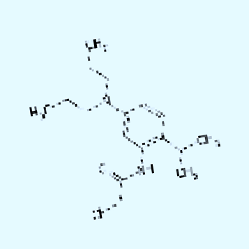 CCCN(CCC)c1ccc(C(C)C)c(NC(=O)CCl)c1